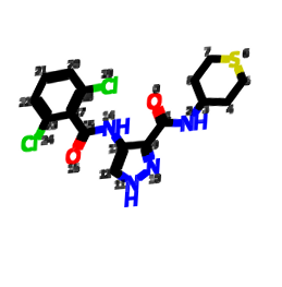 O=C(NC1CCSCC1)c1n[nH]cc1NC(=O)c1c(Cl)cccc1Cl